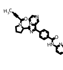 CC#CC(=O)N1CCCC1c1nc(-c2ccc(C(=O)Nc3ccccn3)cc2)c2cnccn12